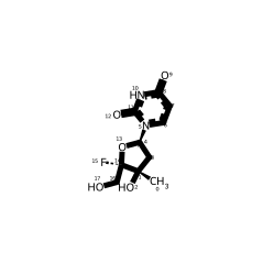 C[C@]1(O)C[C@H](n2ccc(=O)[nH]c2=O)O[C@]1(F)CO